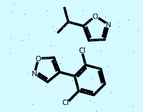 CC(C)c1ccno1.Clc1cccc(Cl)c1-c1cnoc1